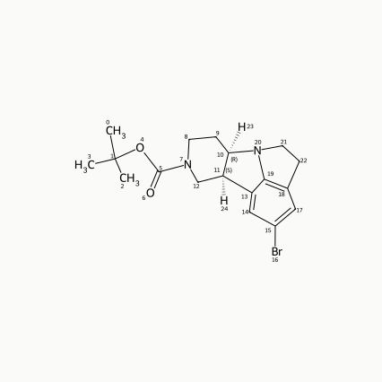 CC(C)(C)OC(=O)N1CC[C@@H]2[C@H](C1)c1cc(Br)cc3c1N2CC3